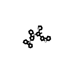 Cc1c(-c2ccc3oc4ccccc4c3c2)cc(-n2c3ccccc3c3cc(-n4c5ccccc5c5ccccc54)ccc32)cc1-c1ccccn1